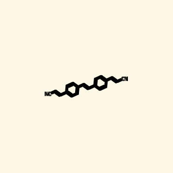 N#CC=Cc1ccc(C=Cc2ccc(C=CC#N)cc2)cc1